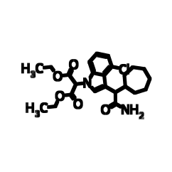 CCOC(=O)C(C(=O)OCC)n1cc(C(C(N)=O)C2CCCCCC2)c2c(Cl)cccc21